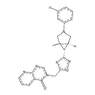 CC12CN(c3cccc(Cl)c3)C[C@H]1[C@@H]2c1noc(Cn2cnc3ncccc3c2=O)n1